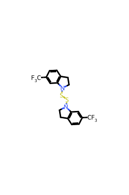 FC(F)(F)c1ccc2c(c1)N(SSN1CCc3ccc(C(F)(F)F)cc31)CC2